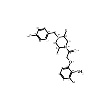 Cc1cccc(OCC(=O)N2CC(C)N(Cc3ccc(F)cc3)CC2C)c1N